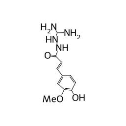 COc1cc(C=CC(=O)NNC(N)N)ccc1O